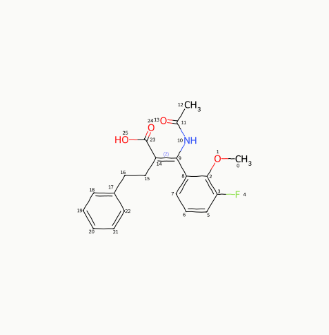 COc1c(F)cccc1/C(NC(C)=O)=C(\CCc1ccccc1)C(=O)O